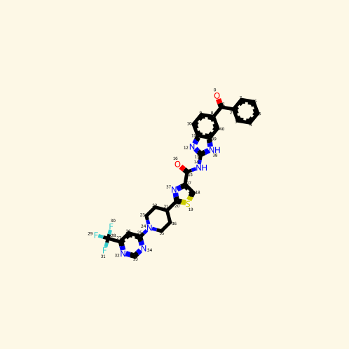 O=C(c1ccccc1)c1ccc2nc(NC(=O)c3csc(C4CCN(c5cc(C(F)(F)F)ncn5)CC4)n3)[nH]c2c1